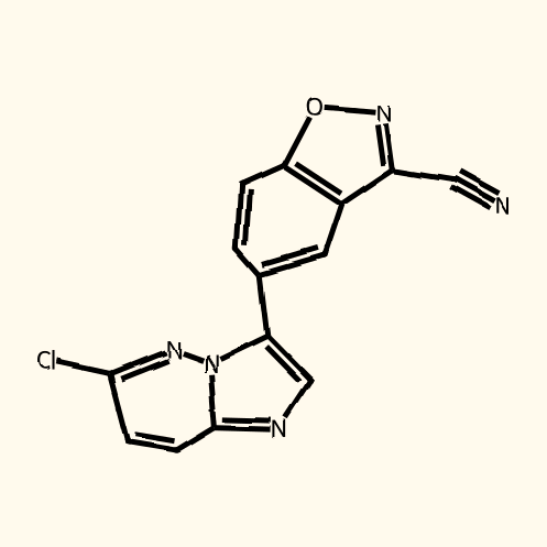 N#Cc1noc2ccc(-c3cnc4ccc(Cl)nn34)cc12